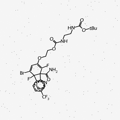 CC(C)(C)OC(=O)NCCNC(=O)OCCOC1=C(F)C(C(N)=O)(c2ncco2)C(F)(c2ccc(C(F)(F)F)cc2)C(Br)=C1